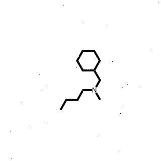 CCCCN(C)CC1CCCCC1